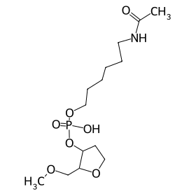 COCC1OCCC1OP(=O)(O)OCCCCCCNC(C)=O